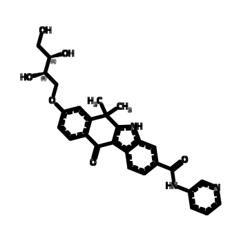 CC1(C)c2cc(OC[C@@H](O)[C@H](O)CO)ccc2C(=O)c2c1[nH]c1cc(C(=O)Nc3cccnc3)ccc21